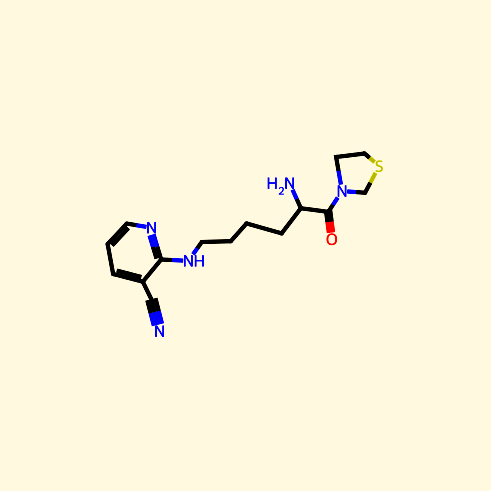 N#Cc1cccnc1NCCCCC(N)C(=O)N1CCSC1